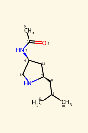 CC(=O)N[C@@H]1CN[C@H](CC(C)C)C1